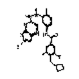 CCn1cc2ncc(N[C@@H](C)c3cc(NC(=O)c4cc(C)c(CN5CCC5)c(F)c4)ccc3C)nc2n1